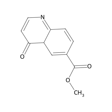 COC(=O)C1=CC2C(=O)C=CN=C2C=C1